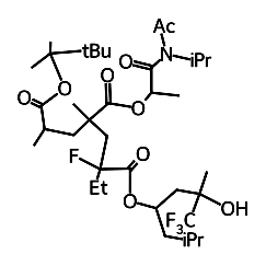 CCC(F)(CC(C)(CC(C)C(=O)OC(C)(C)C(C)(C)C)C(=O)OC(C)C(=O)N(C(C)=O)C(C)C)C(=O)OC(CC(C)C)CC(C)(O)C(F)(F)F